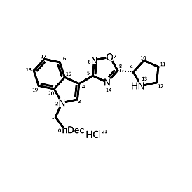 CCCCCCCCCCCn1cc(-c2noc([C@@H]3CCCN3)n2)c2ccccc21.Cl